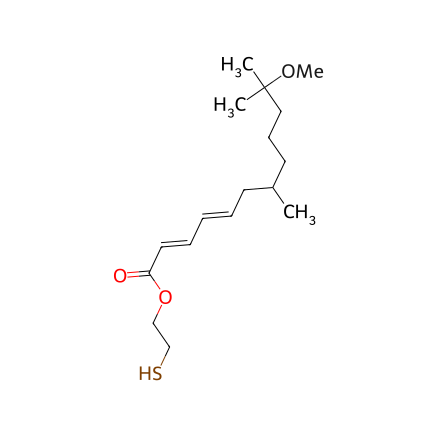 COC(C)(C)CCCC(C)CC=CC=CC(=O)OCCS